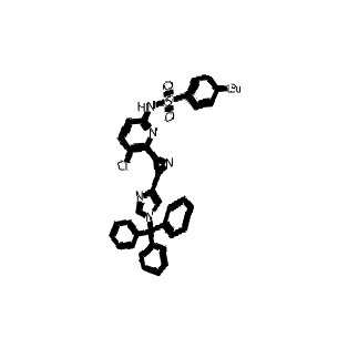 CC(C)(C)c1ccc(S(=O)(=O)Nc2ccc(Cl)c(C3N=C3c3cn(C(c4ccccc4)(c4ccccc4)c4ccccc4)cn3)n2)cc1